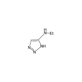 CCNc1[c]nn[nH]1